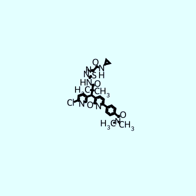 CN(C)C(=O)c1ccc(-c2ccc3c(n2)Oc2nc(Cl)ccc2C3C(C)(C)C(=O)Nc2nnc(C(=O)NC3CC3)s2)cc1